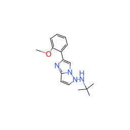 COc1ccccc1-c1cn2c(ccn2NC(C)(C)C)n1